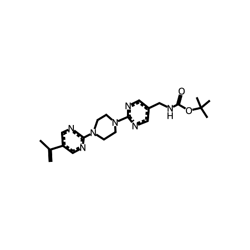 C=C(C)c1cnc(N2CCN(c3ncc(CNC(=O)OC(C)(C)C)cn3)CC2)nc1